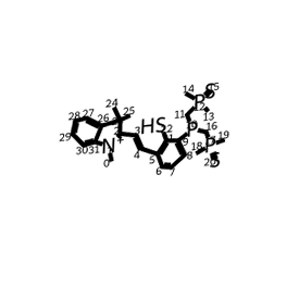 C[N+]1=C(/C=C/c2cccc(P(CP(C)(C)=S)CP(C)(C)=S)c2S)C(C)(C)c2ccccc21